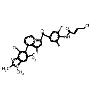 Cc1cc2c(nc(C)n2C)c(Cl)c1-c1cccn2c(C(=O)c3cc(F)c(NC(=O)/C=C/CCl)c(F)c3)cc(I)c12